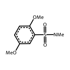 CNS(=O)(=O)c1cc(OC)ccc1OC